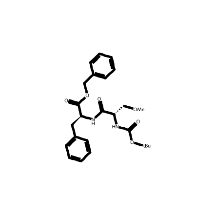 COC[C@H](NC(=O)OC(C)(C)C)C(=O)N[C@@H](Cc1ccccc1)C(=O)OCc1ccccc1